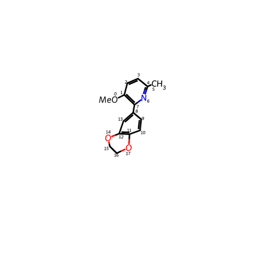 COc1ccc(C)nc1-c1ccc2c(c1)OCCO2